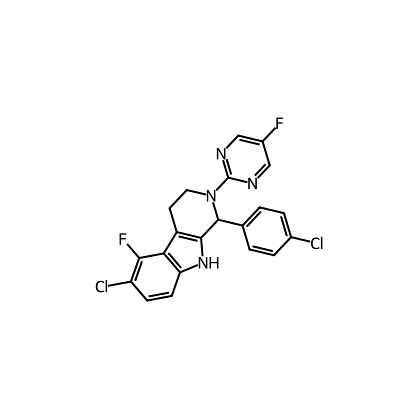 Fc1cnc(N2CCc3c([nH]c4ccc(Cl)c(F)c34)C2c2ccc(Cl)cc2)nc1